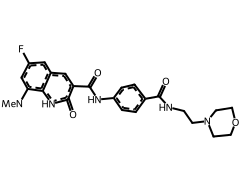 CNc1cc(F)cc2cc(C(=O)Nc3ccc(C(=O)NCCN4CCOCC4)cc3)c(=O)[nH]c12